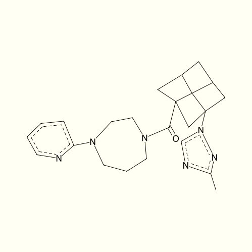 Cc1ncn(C23CC4CC5CC(C(=O)N6CCCN(c7ccccn7)CC6)(C2)C543)n1